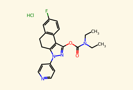 CCN(CC)C(=O)Oc1nn(-c2ccncc2)c2c1-c1ccc(F)cc1CC2.Cl